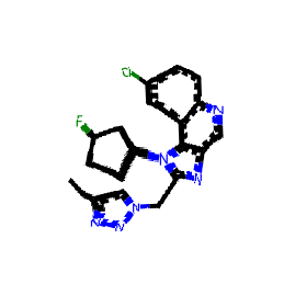 Cc1cn(Cc2nc3cnc4ccc(Cl)cc4c3n2C2CCC(F)C2)nn1